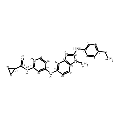 Cn1c(Nc2ccc(CC(F)(F)F)cc2)nc2cc(Oc3ccnc(NC(=O)C4CC4)c3)ccc21